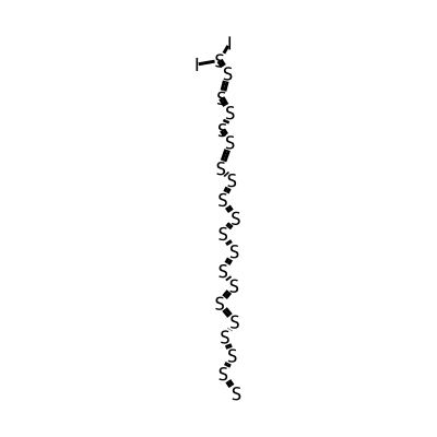 S=S=S=S=S=S=S=S=S=S=S=S=S=S=S=S=S=S=S=S(I)I